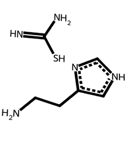 N=C(N)S.NCCc1c[nH]cn1